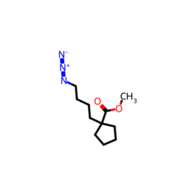 COC(=O)C1(CCCCN=[N+]=[N-])CCCC1